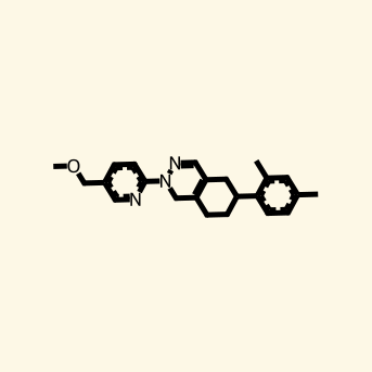 COCc1ccc(N2CC3=C(C=N2)CC(c2ccc(C)cc2C)CC3)nc1